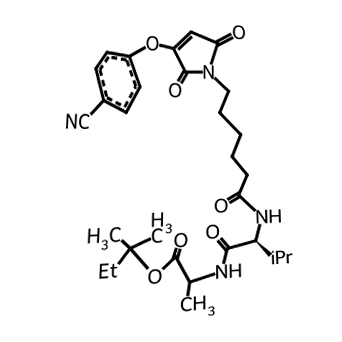 CCC(C)(C)OC(=O)C(C)NC(=O)[C@@H](NC(=O)CCCCCN1C(=O)C=C(Oc2ccc(C#N)cc2)C1=O)C(C)C